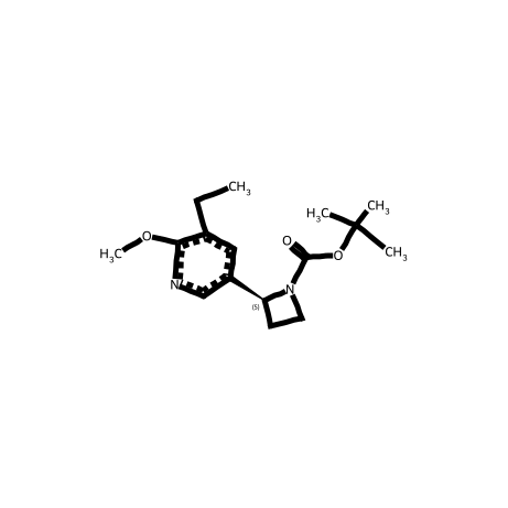 CCc1cc([C@@H]2CCN2C(=O)OC(C)(C)C)cnc1OC